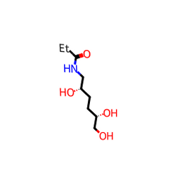 CCC(=O)NC[C@@H](O)CC[C@H](O)CO